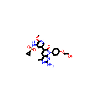 COc1ncc(-c2cc3c(C)nc(N)nc3n([C@H]3CC[C@H](OCCO)CC3)c2=O)cc1NS(=O)(=O)C1CC1